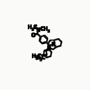 C=CCN1CCC2CCCC(C1)N2C(C1=CC(C)=CCC1)c1ccc(C(=O)N(C)C)cc1